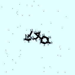 Cc1ccc(C2(Cn3ccnc3C)CC2)cc1